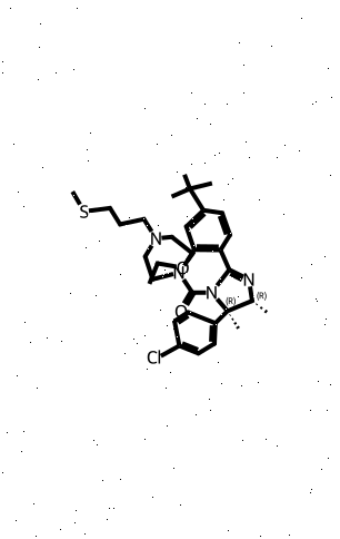 CCOc1cc(C(C)(C)C)ccc1C1=N[C@H](C)[C@@](C)(c2ccc(Cl)cc2)N1C(=O)N1CCN(CCCSC)CC1